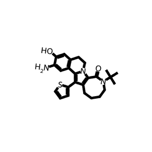 CC(C)(C)N1CCCCc2c(-c3cccs3)c3n(c2C1=O)CCc1cc(O)c(N)cc1-3